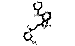 C[C@H]1CCCN(C(=O)CCc2n[nH]c3ccnc(NC4CCOCC4)c23)C1